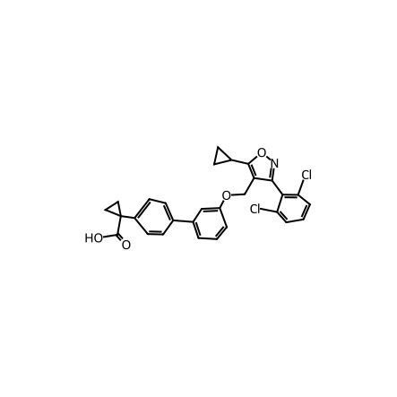 O=C(O)C1(c2ccc(-c3cccc(OCc4c(-c5c(Cl)cccc5Cl)noc4C4CC4)c3)cc2)CC1